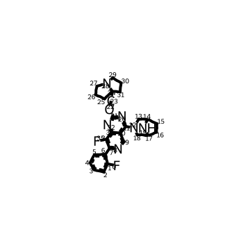 Fc1ccccc1-c1ncc2c(N3CC4CCC(C3)N4)nc(OCC34CCCN3CCC4)nc2c1F